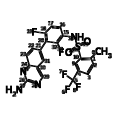 Cc1ccc(C(F)(F)F)cc1S(=O)(=O)Nc1ccc(F)c(-c2ccc3nc(N)ncc3c2)c1F